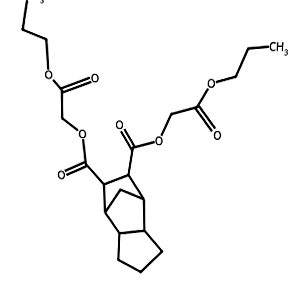 CCCOC(=O)COC(=O)C1C2CC(C3CCCC32)C1C(=O)OCC(=O)OCCC